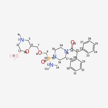 BC1CN(C)CC(COCP(=O)(N(C)C)N2CCN(C(=O)C(c3ccccc3)c3ccccc3)CC2)O1